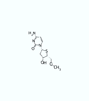 COC[C@H]1S[C@@H](n2ccc(N)nc2=O)CC1O